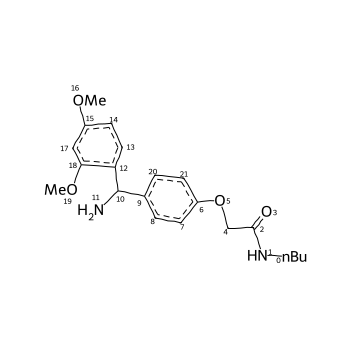 CCCCNC(=O)COc1ccc(C(N)c2ccc(OC)cc2OC)cc1